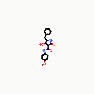 COc1ccc(NC(=O)C2=C(O)C(Cc3ccccc3)NC2=O)cc1